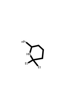 CCCC1CCCC(CC)(CC)N1